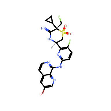 C[C@@]1(c2nc(Nc3nccc4cc(Br)cnc34)ccc2F)CS(=O)(=O)[C@@](CF)(C2CC2)C(=N)N1